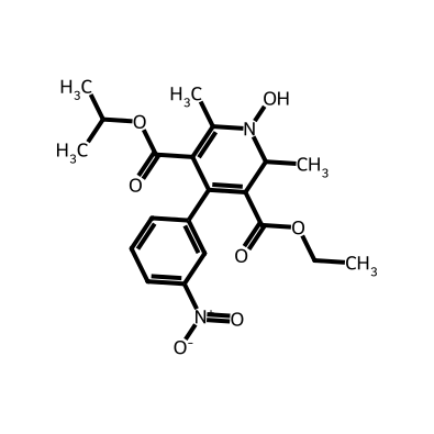 CCOC(=O)C1=C(c2cccc([N+](=O)[O-])c2)C(C(=O)OC(C)C)=C(C)N(O)C1C